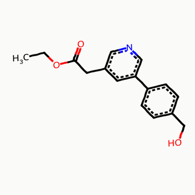 CCOC(=O)Cc1cncc(-c2ccc(CO)cc2)c1